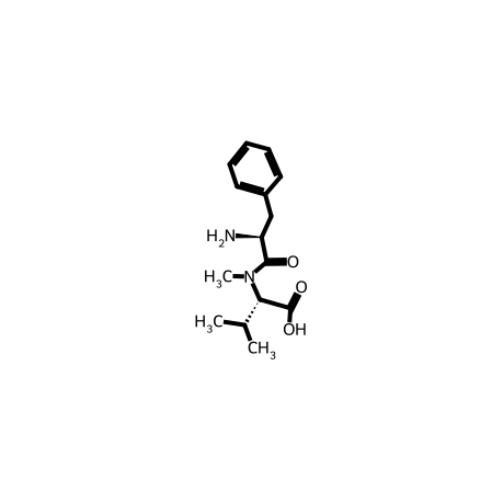 CC(C)[C@@H](C(=O)O)N(C)C(=O)[C@@H](N)Cc1ccccc1